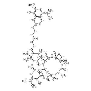 CO[C@]1(C)C[C@@H](C)C(=O)[C@@H](O)[C@@]2(O)CC[C@H]2OC(=O)[C@H](C)[C@@H](O[C@H]2C[C@@](C)(OC)[C@@H](OCCNCCCc3ccc4c(c3)c(=O)c(C(=O)O)cn4N(C)C)[C@H](C)O2)[C@H](C)[C@H]1O[C@@H]1O[C@H](C)C[C@H](N(C)C)[C@H]1O